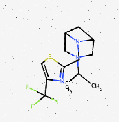 CC(C)N1CC2CC(C1)N2Cc1nc(C(F)(F)F)cs1